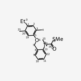 CCc1cc(C)c(OCc2ccccc2N(C)C(=O)SC)cc1C